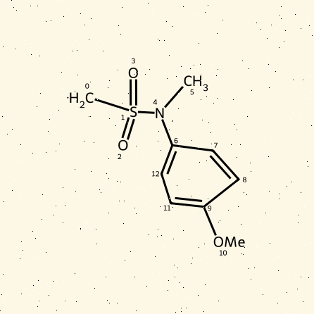 [CH2]S(=O)(=O)N(C)c1ccc(OC)cc1